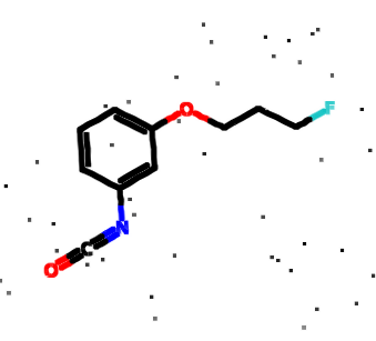 O=C=Nc1cccc(OCCCF)c1